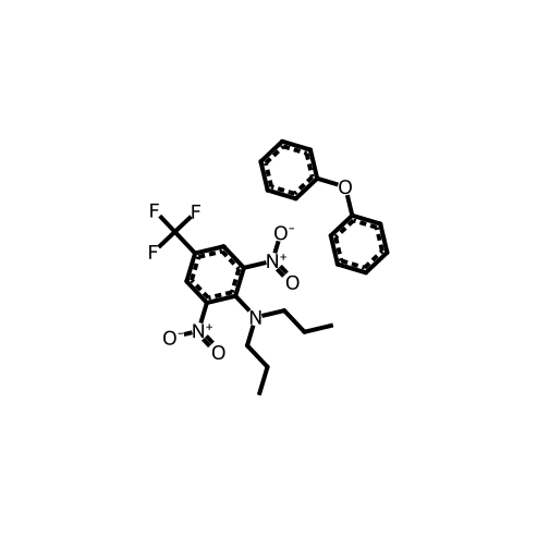 CCCN(CCC)c1c([N+](=O)[O-])cc(C(F)(F)F)cc1[N+](=O)[O-].c1ccc(Oc2ccccc2)cc1